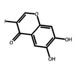 O=c1c(I)coc2cc(O)c(O)cc12